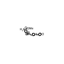 COC(=O)c1cc(S(=O)(=O)NCCc2ccc(OCc3ccc(Cl)cc3)cc2)ccc1C